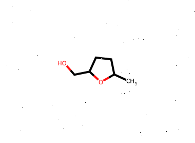 CC1CCC(CO)O1